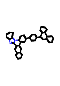 c1ccc2cc3c(cc2c1)c1cc(-c2ccc(-c4cc5ccccc5c5ccccc45)cc2)ccc1n1c2ccccc2nc31